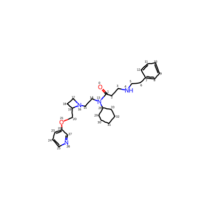 O=C(CCNCCc1ccccc1)N(CCN1CCC1COc1cccnc1)C1CCCCC1